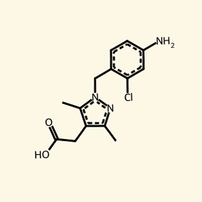 Cc1nn(Cc2ccc(N)cc2Cl)c(C)c1CC(=O)O